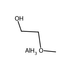 COCCO.[AlH3]